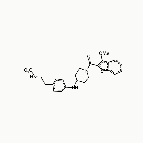 COc1c(C(=O)N2CCC(Nc3ccc(CCNC(=O)O)cc3)CC2)sc2ccccc12